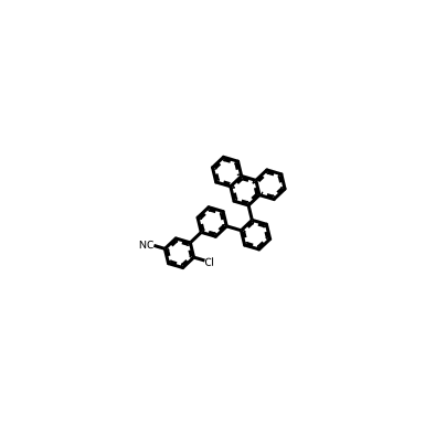 N#Cc1ccc(Cl)c(-c2cccc(-c3ccccc3-c3cc4ccccc4c4ccccc34)c2)c1